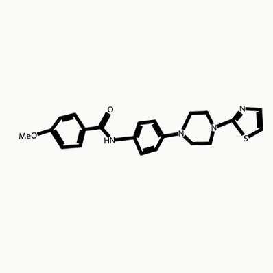 COc1ccc(C(=O)Nc2ccc(N3CCN(c4nccs4)CC3)cc2)cc1